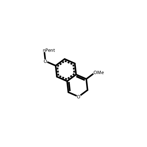 CCCCCOc1ccc2c(c1)=COCC=2OC